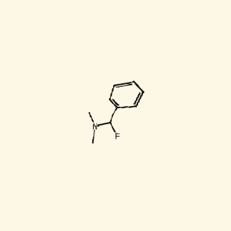 CN(C)C(F)c1ccccc1